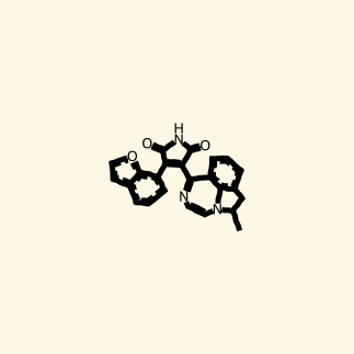 CC1Cc2cccc3c2N1C=CN=C3C1=C(c2cccc3ccoc23)C(=O)NC1=O